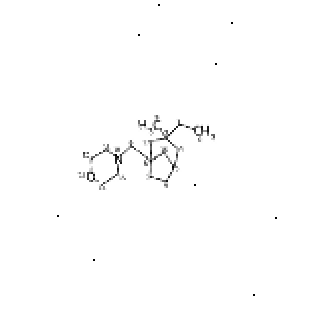 CCC1(C)CC2CCC(CN3CCOCC3)(C2)C1